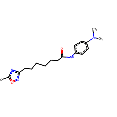 CN(C)c1ccc(NC(=O)CCCCCCc2noc(C(F)(F)F)n2)cc1